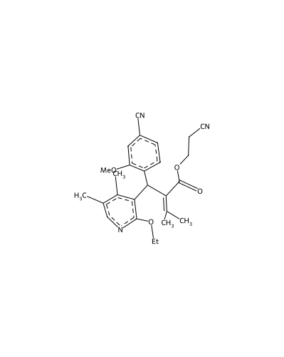 CCOc1ncc(C)c(C)c1C(C(C(=O)OCCC#N)=C(C)C)c1ccc(C#N)cc1OC